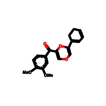 COc1ccc(C(=O)C2=COC=C(C3=CC=CCC3)O2)cc1OC